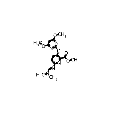 COC(=O)c1nc(N=CN(C)C)ccc1Oc1nc(OC)cc(OC)n1